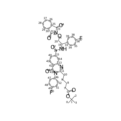 CC(C)(C)OC(=O)CCCCc1nc2cc(C(=O)NC(CON3C(=O)c4ccccc4C3=O)c3ccc(F)cc3)ccc2c(=O)n1-c1ccc(F)cc1